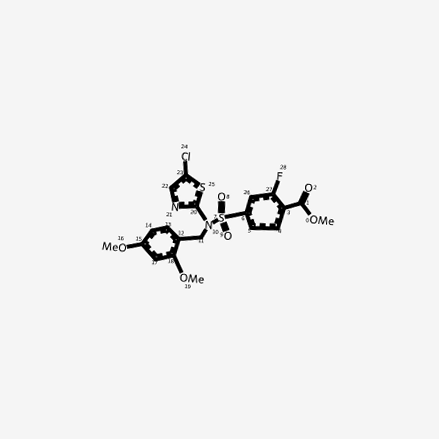 COC(=O)c1ccc(S(=O)(=O)N(Cc2ccc(OC)cc2OC)c2ncc(Cl)s2)cc1F